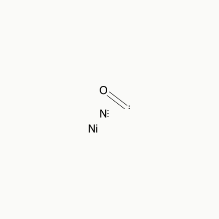 [C]=O.[N].[Ni]